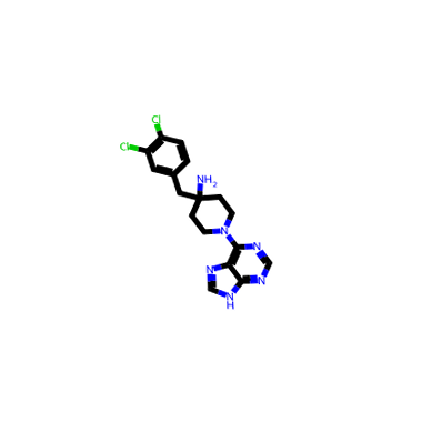 NC1(Cc2ccc(Cl)c(Cl)c2)CCN(c2ncnc3[nH]cnc23)CC1